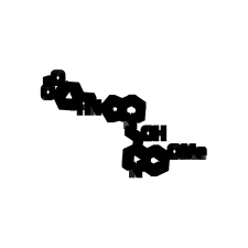 COc1ccc2nccc(C(O)CN3CCCC4CC(NCc5ccc6c(c5)OCO6)CC43)c2c1